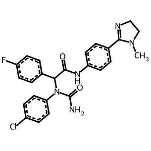 CN1CCN=C1c1ccc(NC(=O)C(c2ccc(F)cc2)N(C(N)=O)c2ccc(Cl)cc2)cc1